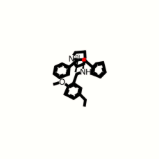 CCc1ccc(OC)c(CN[C@]2(c3ccccc3)C3CCN(CC3)[C@@]2(C)c2ccccc2)c1